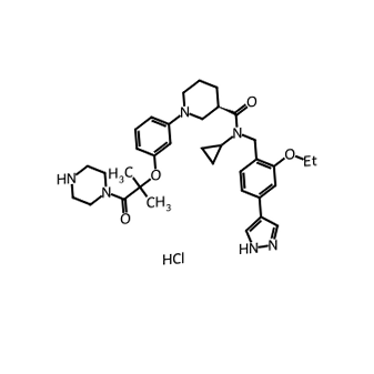 CCOc1cc(-c2cn[nH]c2)ccc1CN(C(=O)[C@@H]1CCCN(c2cccc(OC(C)(C)C(=O)N3CCNCC3)c2)C1)C1CC1.Cl